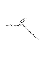 [2H][N+](CCCCCCCCCCC(C)C)(CCCCCCCCCCC(C)C)c1ccc(CCCC)cc1